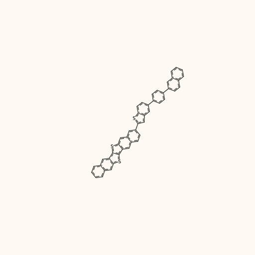 c1ccc2cc(-c3ccc(-c4ccc5sc(-c6ccc7cc8c(cc7c6)sc6c7cc9ccccc9cc7sc86)cc5c4)cc3)ccc2c1